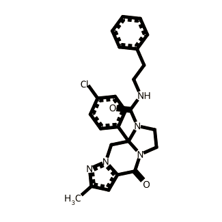 Cc1cc2n(n1)CC1(c3ccc(Cl)cc3)N(C(=O)NCCc3ccccc3)CCN1C2=O